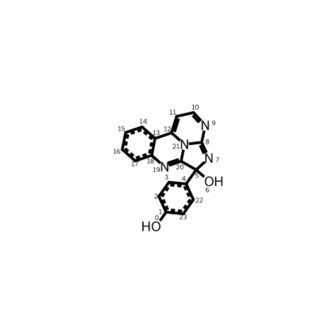 Oc1ccc(C2(O)N=C3N=CC=C4c5ccccc5N=C2N43)cc1